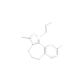 CCOC(=O)c1nn(CCO)c2c1CCCc1cnc(SC)nc1-2